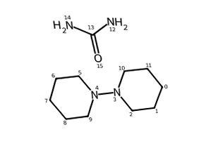 C1CCN(N2CCCCC2)CC1.NC(N)=O